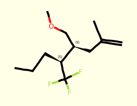 C=C(C)C[C@H](COC)[C@H](CCC)C(F)(F)F